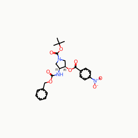 CC(C)(C)OC(=O)N1C[C@H](NC(=O)OCc2ccccc2)[C@H](OC(=O)c2ccc([N+](=O)[O-])cc2)C1